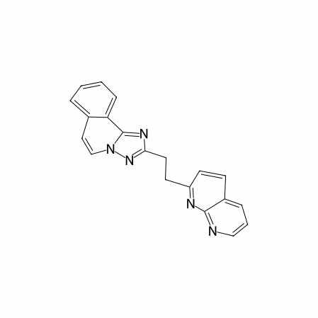 c1cnc2nc(CCc3nc4c5ccccc5ccn4n3)ccc2c1